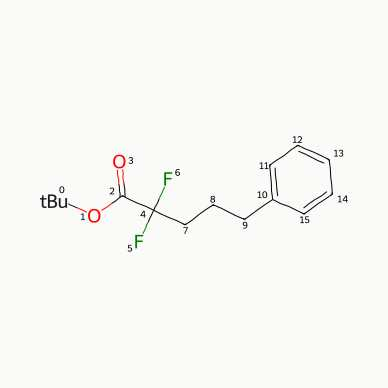 CC(C)(C)OC(=O)C(F)(F)CCCc1ccccc1